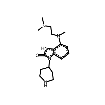 CN(C)CCN(C)c1cccc2c1[nH]c(=O)n2C1CCNCC1